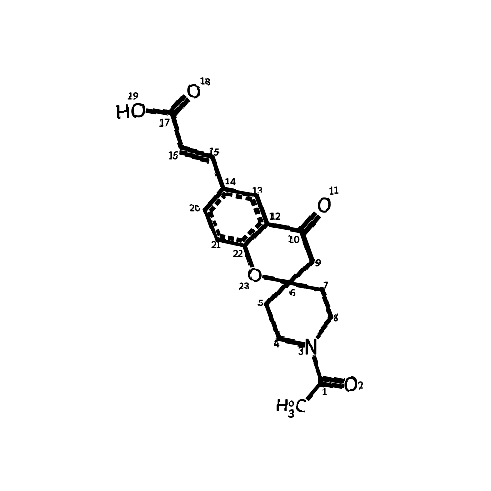 CC(=O)N1CCC2(CC1)CC(=O)c1cc(/C=C/C(=O)O)ccc1O2